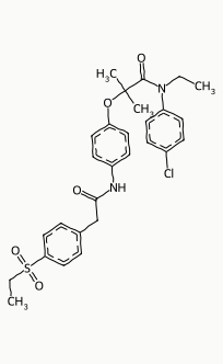 CCN(C(=O)C(C)(C)Oc1ccc(NC(=O)Cc2ccc(S(=O)(=O)CC)cc2)cc1)c1ccc(Cl)cc1